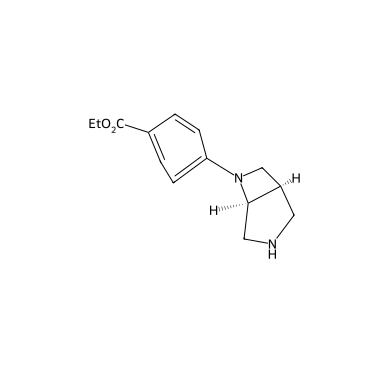 CCOC(=O)c1ccc(N2C[C@H]3CNC[C@H]32)cc1